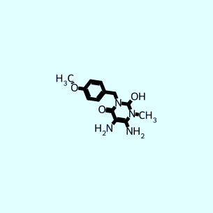 COc1ccc(CN2C(=O)C(N)=C(N)N(C)C2O)cc1